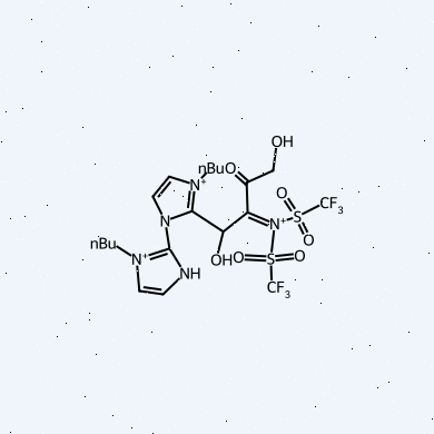 CCCC[n+]1cc[nH]c1-n1cc[n+](CCCC)c1C(O)C(C(=O)CO)=[N+](S(=O)(=O)C(F)(F)F)S(=O)(=O)C(F)(F)F